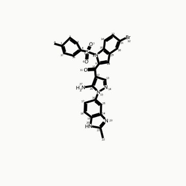 Cc1ccc(S(=O)(=O)n2c(C(=O)c3cnn(-c4ccc5[nH]c(C)nc5c4)c3N)cc3cc(Br)ccc32)cc1